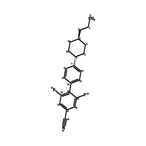 CCC[C@H]1CC[C@H](c2ccc(-c3c(F)cc(C#N)cc3F)cc2)CC1